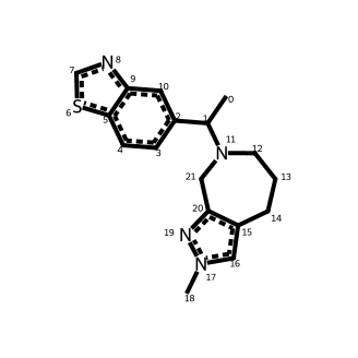 CC(c1ccc2scnc2c1)N1CCCc2cn(C)nc2C1